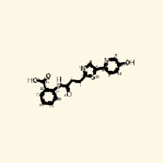 O=C(CCc1ncc(-c2ccc(O)cn2)s1)Nc1ccccc1C(=O)O